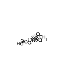 Cc1ccccc1C(c1ccccc1)S(=O)(=O)c1nc2c(s1)CCc1c(OCC(=O)O)cccc1-2